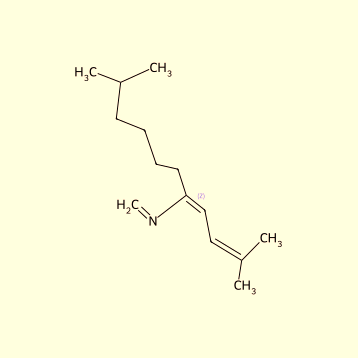 C=N/C(=C\C=C(C)C)CCCCC(C)C